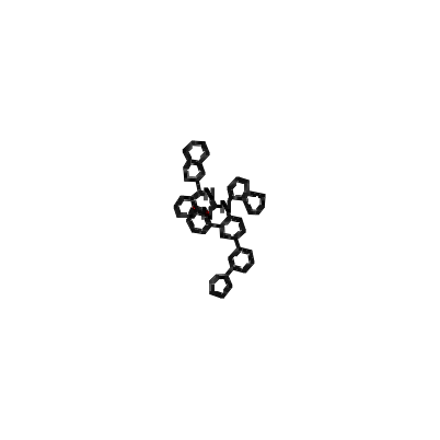 c1ccc(-c2cccc(-c3ccc(N(c4nc(-c5ccc6ccccc6c5)c5ccccc5n4)c4cccc5ccccc45)c(-c4ccccc4)c3)c2)cc1